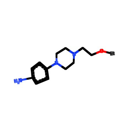 CCOCCN1CCN(c2ccc(N)cc2)CC1